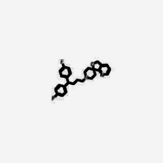 Fc1ccc(C(CCCN2CCC3(CC2)OCc2cccnc23)c2ccc(F)cc2)cc1